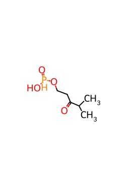 CC(C)C(=O)CCO[PH](=O)O